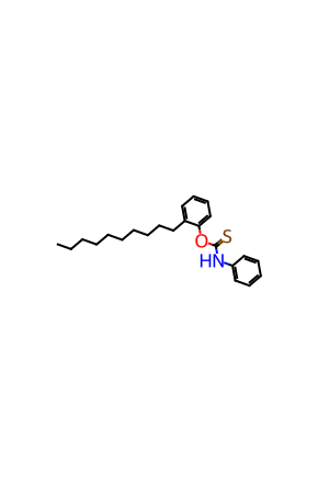 CCCCCCCCCCc1ccccc1OC(=S)Nc1ccccc1